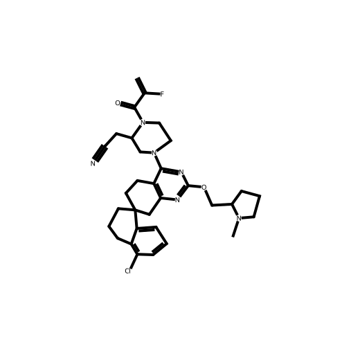 C=C(F)C(=O)N1CCN(c2nc(OCC3CCCN3C)nc3c2CCC2(CCCc4c(Cl)cccc42)C3)CC1CC#N